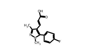 Cc1nn(C)c(-c2ccc(F)cc2)c1C=CC(=O)O